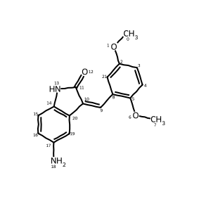 COc1ccc(OC)c(C=C2C(=O)Nc3ccc(N)cc32)c1